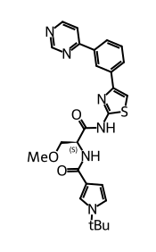 COC[C@H](NC(=O)c1ccn(C(C)(C)C)c1)C(=O)Nc1nc(-c2cccc(-c3ccncn3)c2)cs1